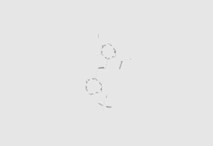 COc1ccc(C(=O)O)c(C=Cc2cccc(NS(C)(=O)=O)c2)c1OC